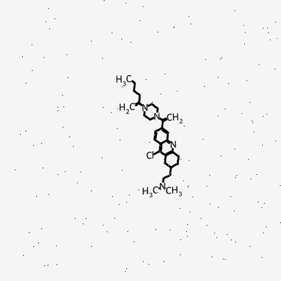 C=C(CCCC)N1CCN(C(=C)c2ccc3c(Cl)c4c(nc3c2)CCC(CCN(C)C)C4)CC1